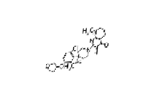 CC(=O)C1(c2c(Cl)ccc(OC3CCOC3)c2C)CCN(c2nc3c(c(=O)[nH]2)CCCN3C)CC1